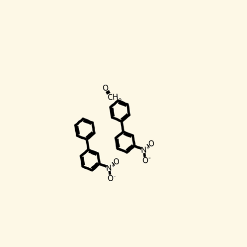 C=O.O=[N+]([O-])c1cccc(-c2ccccc2)c1.O=[N+]([O-])c1cccc(-c2ccccc2)c1